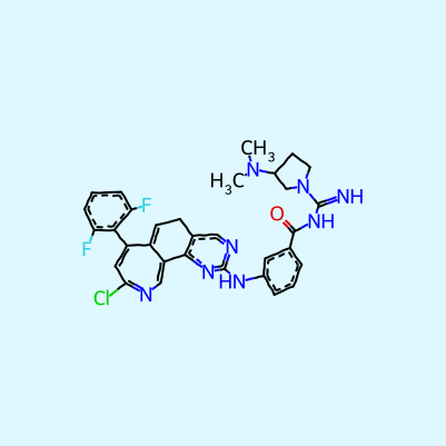 CN(C)C1CCN(C(=N)NC(=O)c2cccc(Nc3ncc4c(n3)C3=CN=C(Cl)C=C(c5c(F)cccc5F)C3=CC4)c2)C1